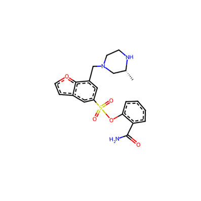 C[C@@H]1CN(Cc2cc(S(=O)(=O)Oc3ccccc3C(N)=O)cc3ccoc23)CCN1